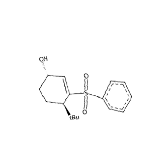 CC(C)(C)[C@H]1CC[C@H](O)C=C1S(=O)(=O)c1ccccc1